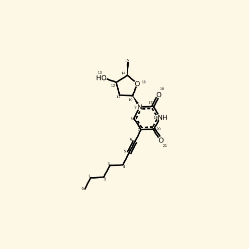 CCCCCC#Cc1cn([C@H]2CC(O)[C@@H](C)O2)c(=O)[nH]c1=O